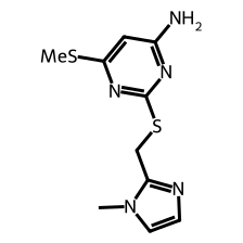 CSc1cc(N)nc(SCc2nccn2C)n1